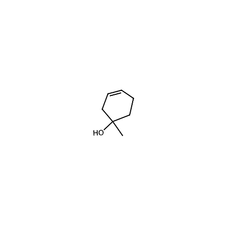 CC1(O)CC=CCC1